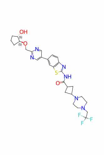 O=C(Nc1nc2ccc(-c3cnc(CO[C@H]4CCC[C@@H]4O)nc3)cc2s1)C1CC(N2CCN(CC(F)(F)F)CC2)C1